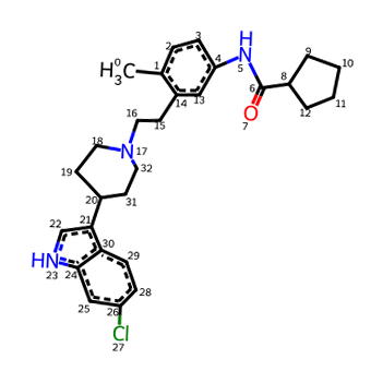 Cc1ccc(NC(=O)C2CCCC2)cc1CCN1CCC(c2c[nH]c3cc(Cl)ccc23)CC1